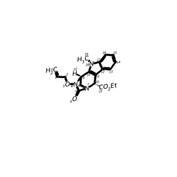 C=CCON1C(=O)N2C[C@H]1c1c(c3ccccc3n1C)[C@@H]2C(=O)OCC